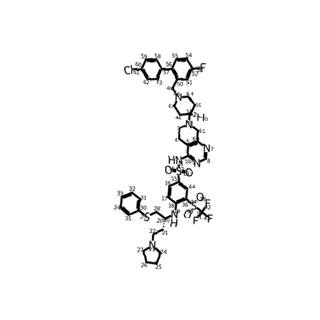 [2H]C1(N2CCc3c(ncnc3NS(=O)(=O)c3ccc(N[C@H](CCN4CCCC4)CSc4ccccc4)c(S(=O)(=O)C(F)(F)F)c3)C2)CCN(Cc2cc(F)ccc2-c2ccc(Cl)cc2)CC1